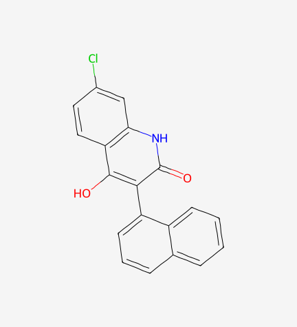 O=c1[nH]c2cc(Cl)ccc2c(O)c1-c1cccc2ccccc12